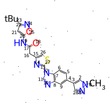 Cn1cc(-c2ccc3c(c2)ncn3-c2nc(CC(=O)Nc3cc(C(C)(C)C)no3)cs2)cn1